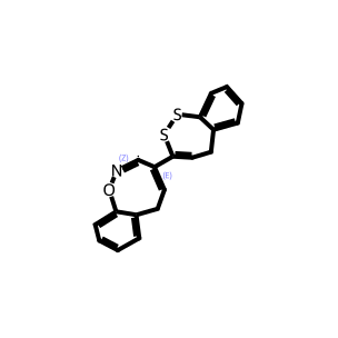 [C]1=N\Oc2ccccc2C\C=C/1C1=CCc2ccccc2SS1